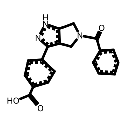 O=C(O)c1ccc(-c2n[nH]c3c2CN(C(=O)c2ccccc2)C3)cc1